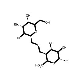 CC[C@@H]1OC(C(=O)O)[C@@H](COC[C@@H]2OC(CO)[C@@H](O)[C@@H](CC)C2O)[C@@H](O)C1O